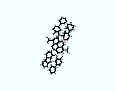 Cc1ccc(-c2ccccc2)cc1N(c1cc(C(C)C)c2ccc3c(N(c4cc(-c5ccccc5)ccc4C)c4c(C)ccc5c4oc4ccccc45)cc(C(C)C)c4ccc1c2c43)c1c(C)ccc2c1oc1ccccc12